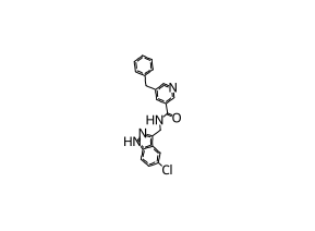 O=C(NCc1n[nH]c2ccc(Cl)cc12)c1cncc(Cc2ccccc2)c1